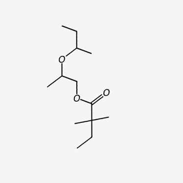 CCC(C)OC(C)COC(=O)C(C)(C)CC